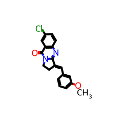 COc1cccc(C=C2CCn3c2nc2ccc(Cl)cc2c3=O)c1